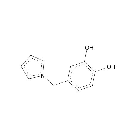 Oc1ccc(Cn2cccc2)cc1O